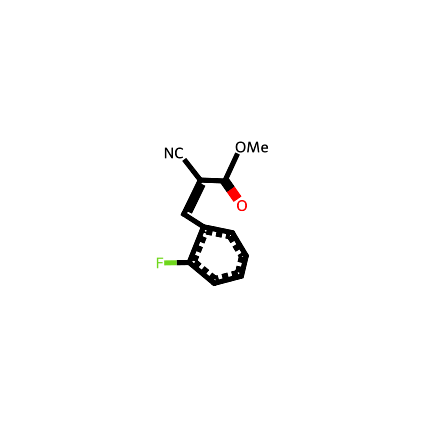 COC(=O)C(C#N)=Cc1ccccc1F